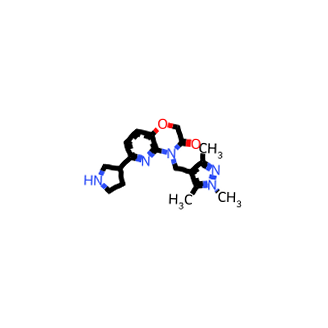 Cc1nn(C)c(C)c1CN1C(=O)COc2ccc(C3CCNC3)nc21